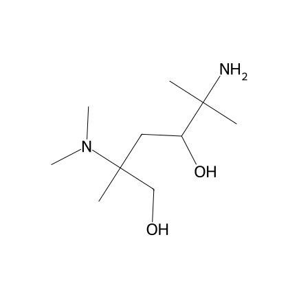 CN(C)C(C)(CO)CC(O)C(C)(C)N